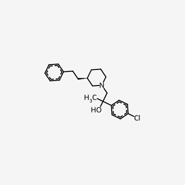 CC(O)(CN1CCC[C@H](CCc2ccccc2)C1)c1ccc(Cl)cc1